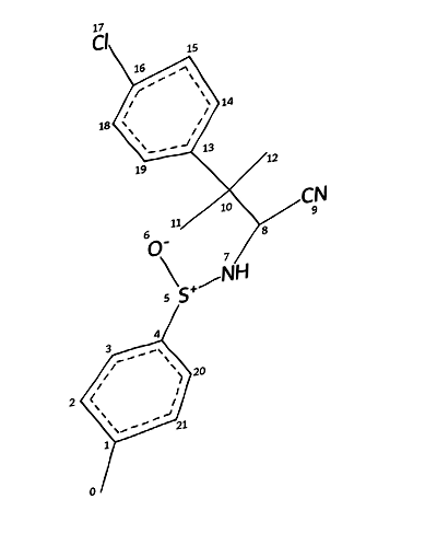 Cc1ccc([S+]([O-])NC(C#N)C(C)(C)c2ccc(Cl)cc2)cc1